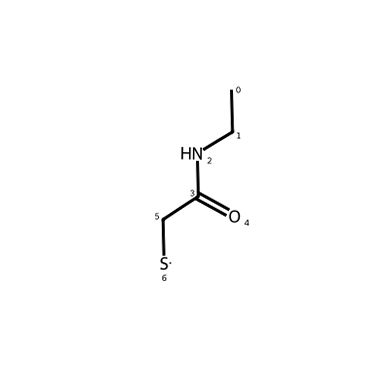 CCNC(=O)C[S]